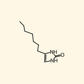 CCCCCCCc1c[nH]c(=O)[nH]1